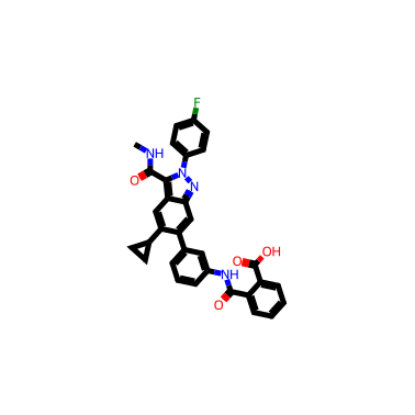 CNC(=O)c1c2cc(C3CC3)c(-c3cccc(NC(=O)c4ccccc4C(=O)O)c3)cc2nn1-c1ccc(F)cc1